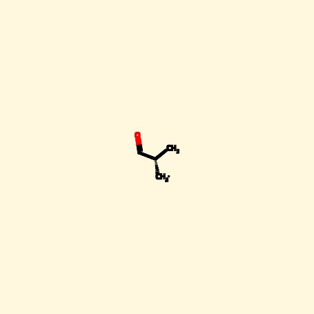 [CH2][C@@H](C)C=O